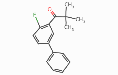 CC(C)(C)C(=O)c1cc(-c2ccccc2)ccc1F